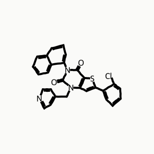 O=c1c2sc(-c3ccccc3Cl)cc2n(Cc2ccncc2)c(=O)n1-c1cccc2ccccc12